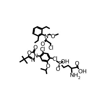 CC(C)Oc1cc(-n2nc(C(C)(C)C)oc2=O)c(Cl)cc1Cl.CCc1cccc(CC)c1N(COC)C(=O)CCl.CP(=O)(O)CCC(N)C(=O)O